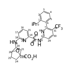 CC(C)c1ccccc1-c1nc(NS(=O)(=O)c2cccc(NC3CC4(C(=O)O)CCC3O4)n2)ccc1C(F)(F)F